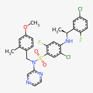 COc1ccc(CN(c2cnccn2)S(=O)(=O)c2cc(Cl)c(N[C@@H](C)c3cc(Cl)ccc3F)cc2F)c(C)c1